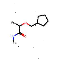 CC(C)C(OCC1CCCC1)C(=O)NC(C)(C)C